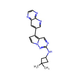 CC1(C)CC(Nc2ncc3c(-c4cnc5nccnc5c4)ccn3n2)C1